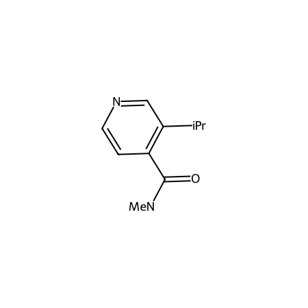 CNC(=O)c1ccncc1C(C)C